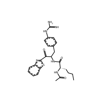 CCCC[C@H](NC(C)=O)C(=O)NC(Cc1ccc(NC(=N)N)cc1)C(=O)c1nc2ccccc2s1